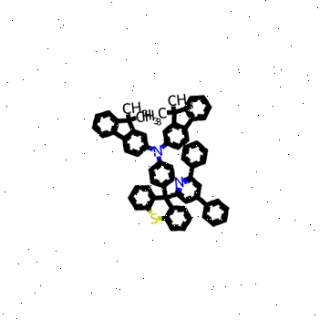 CC1(C)c2ccccc2-c2ccc(N(c3ccc(C4(c5cc(-c6ccccc6)cc(-c6ccccc6)n5)c5ccccc5Sc5ccccc54)cc3)c3ccc4c(c3)C(C)(C)c3ccccc3-4)cc21